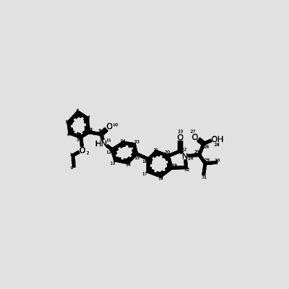 CCOc1ccccc1C(=O)Nc1ccc(-c2ccc3c(c2)C(=O)N(C(C(=O)O)C(C)C)C3)cc1